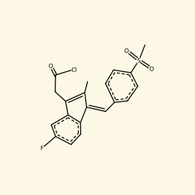 CC1=C(CC(=O)Cl)c2cc(F)ccc2C1=Cc1ccc(S(C)(=O)=O)cc1